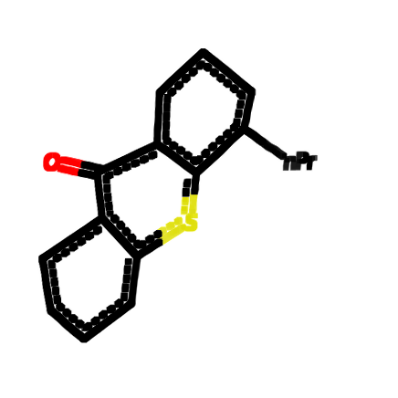 CCCc1cccc2c(=O)c3ccccc3sc12